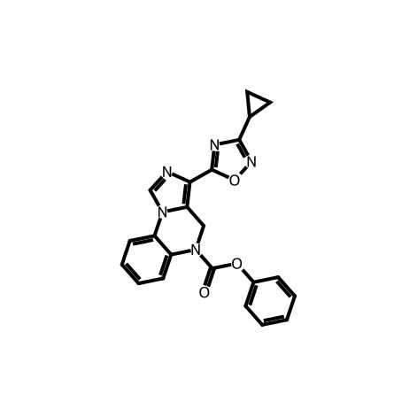 O=C(Oc1ccccc1)N1Cc2c(-c3nc(C4CC4)no3)ncn2-c2ccccc21